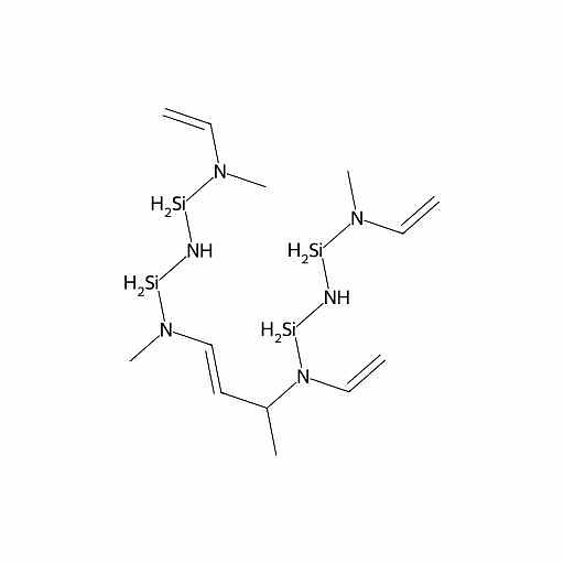 C=CN(C)[SiH2]N[SiH2]N(C)C=CC(C)N(C=C)[SiH2]N[SiH2]N(C)C=C